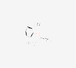 CC(C)(C)C(Oc1ccccc1C#N)C(=O)O